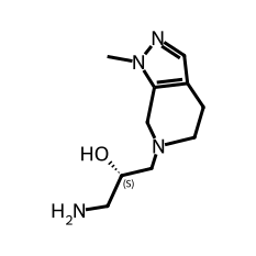 Cn1ncc2c1CN(C[C@@H](O)CN)CC2